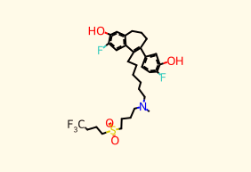 CN(CCCCCCC1=C(c2ccc(F)c(O)c2)CCCc2cc(O)c(F)cc21)CCCCS(=O)(=O)CCCC(F)(F)F